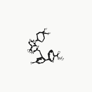 NC(=O)c1ccc(-c2ccc(F)cc2Cc2nc3c(cnn3C3CCC(F)(F)CC3)c(=O)[nH]2)cn1